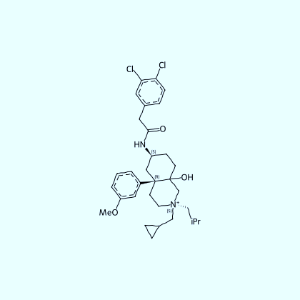 COc1cccc([C@]23CC[N@+](CC(C)C)(CC4CC4)CC2(O)CC[C@H](NC(=O)Cc2ccc(Cl)c(Cl)c2)C3)c1